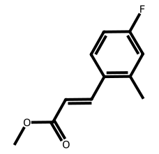 COC(=O)C=Cc1ccc(F)cc1C